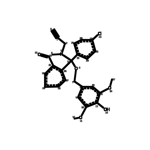 C#CCN(C)C(OCc1cc(OC)c(O)c(OC)c1)(c1ccc(Cl)cc1)c1ccccc1C=O